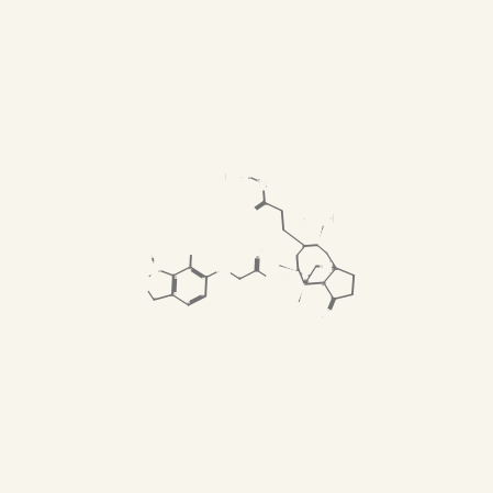 CCCCNC(=O)CC[C@]1(C)C[C@@H](OC(=O)COc2ccc3c(c2F)B(O)OC3)[C@]2(C)[C@H](C)CC[C@]3(CCC(=O)[C@H]32)[C@@H](C)[C@@H]1O